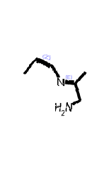 C/C=C\N=C(/C)CN